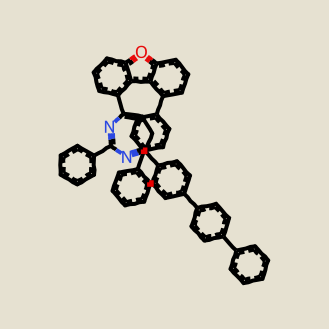 C1=C(c2cccc3oc4cccc(-c5ccc(-c6ccccc6)cc5)c4c23)N=C(c2ccccc2)N=C(c2ccc(-c3ccc(-c4ccccc4)cc3)cc2)C1